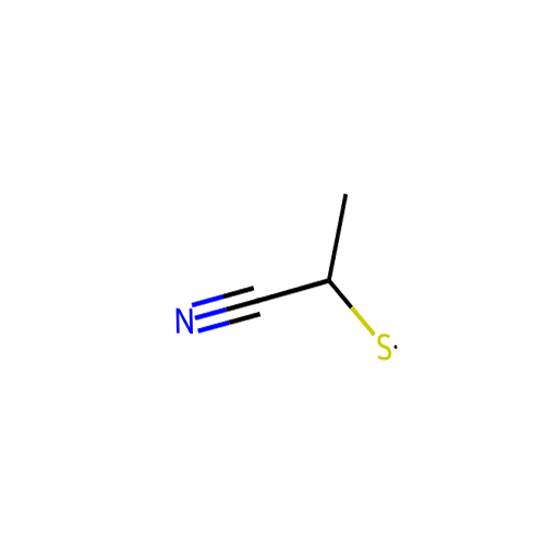 CC([S])C#N